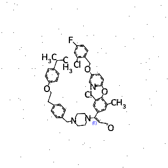 Cc1cc(/C(=C\C=O)N2CCN(Cc3ccc(CCOc4ccc(C(C)C)cc4)cc3)CC2)cc(Cl)c1Oc1ccc(OCc2ccc(F)cc2Cl)cn1